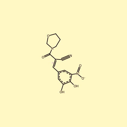 N#C/C(=C\c1cc(O)c(O)c([N+](=O)[O-])c1)C(=O)N1CCCOC1